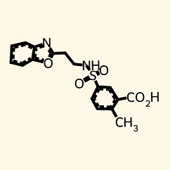 Cc1ccc(S(=O)(=O)NCCc2nc3ccccc3o2)cc1C(=O)O